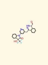 O=CC1NN=C(Cc2cncc(N3C(=O)C(O)(C(F)(F)F)c4ccccc43)c2)c2ccccc21